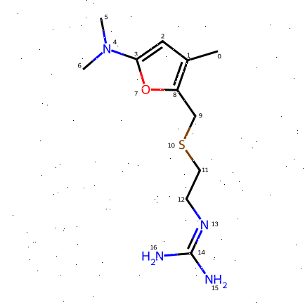 Cc1cc(N(C)C)oc1CSCCN=C(N)N